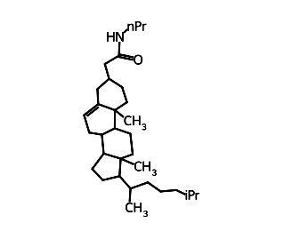 CCCNC(=O)CC1CCC2(C)C(=CCC3C2CCC2(C)C(C(C)CCCC(C)C)CCC32)C1